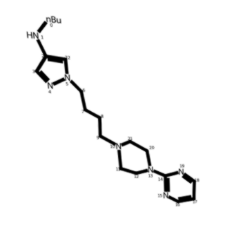 CCCCNc1cnn(CCCCN2CCN(c3ncccn3)CC2)c1